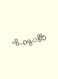 C=CC(=O)OCCc1ccc(OC(=O)C2CCC(C(=O)Oc3ccccc3OC)CC2)cc1